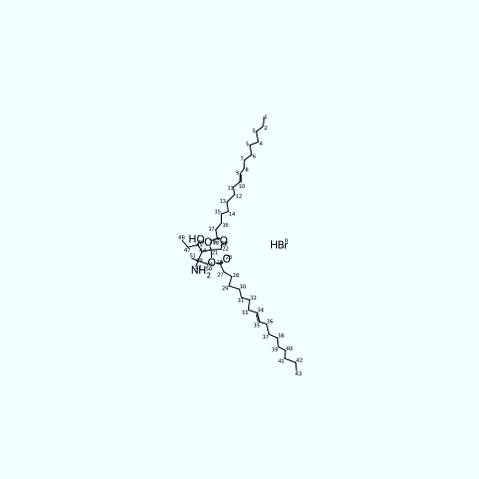 Br.CCCCCCCCC=CCCCCCCCC(=O)OC(CC)(OC(=O)CCCCCCCC=CCCCCCCCC)C(C(O)CC)C(C)(C)N